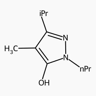 CCCn1nc(C(C)C)c(C)c1O